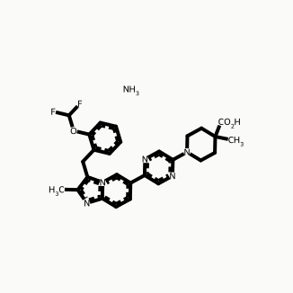 Cc1nc2ccc(-c3cnc(N4CCC(C)(C(=O)O)CC4)cn3)cn2c1Cc1ccccc1OC(F)F.N